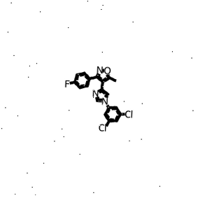 Cc1onc(-c2ccc(F)cc2)c1-c1cn(-c2cc(Cl)cc(Cl)c2)cn1